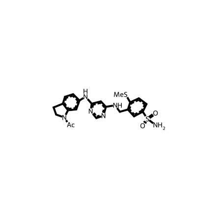 CSc1ccc(S(N)(=O)=O)cc1CNc1cc(Nc2ccc3c(c2)N(C(C)=O)CC3)ncn1